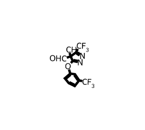 CC1(C=O)C(Oc2cccc(C(F)(F)F)c2)=NN=C1C(F)(F)F